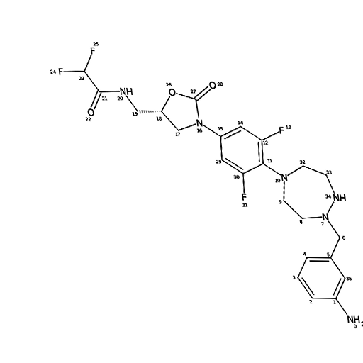 Nc1cccc(CN2CCN(c3c(F)cc(N4C[C@H](CNC(=O)C(F)F)OC4=O)cc3F)CCN2)c1